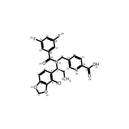 CC[C@@H](c1ccc2c(c1Cl)OCO2)N(Cc1ccc(C(=O)O)nc1)C(=O)c1cc(F)cc(F)c1